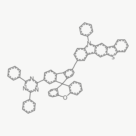 c1ccc(-c2nc(-c3ccccc3)nc(-c3ccc4c(c3)C3(c5ccccc5Oc5ccccc53)c3ccc(-c5ccc6c(c5)c5cc7sc8ccccc8c7cc5n6-c5ccccc5)cc3-4)n2)cc1